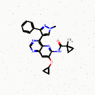 Cn1cc(-c2ncnc3cc(OC4CC4)c(NC(=O)C4(C(F)(F)F)CC4)nc23)c(-c2ccccc2)n1